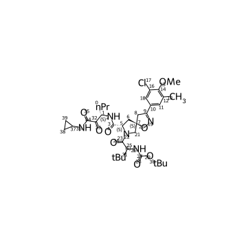 CCC[C@H](NC(=O)[C@@H]1C[C@]2(CC(c3cc(C)c(OC)c(Cl)c3)=NO2)CN1C(=O)[C@@H](NC(=O)OC(C)(C)C)C(C)(C)C)C(=O)C(=O)NC1CC1